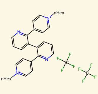 CCCCCC[n+]1ccc(-c2ncccc2-c2cccnc2-c2cc[n+](CCCCCC)cc2)cc1.F[B-](F)(F)F.F[B-](F)(F)F